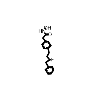 O=C(Cc1ccc(CCC(F)Cc2ccccc2)cc1)NO